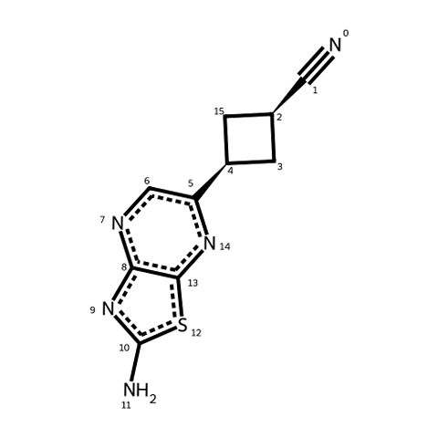 N#C[C@H]1C[C@@H](c2cnc3nc(N)sc3n2)C1